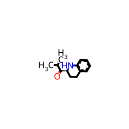 CC(C)C(=O)[C@@H]1CCc2ccccc2N1